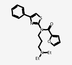 CCN(CC)CCCN(C(=O)c1ccco1)c1nc(-c2ccccc2)cs1